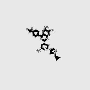 Cc1nc2nc([C@H]3C[C@@H](C)O[C@@H](c4cnn(C5CC5)c4)C3)nc(-c3ccc(C(F)(F)F)cc3)c2nc1C